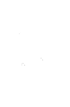 CCCN(C1CCCCC1)C(CNCC)c1ccc(OC)cc1